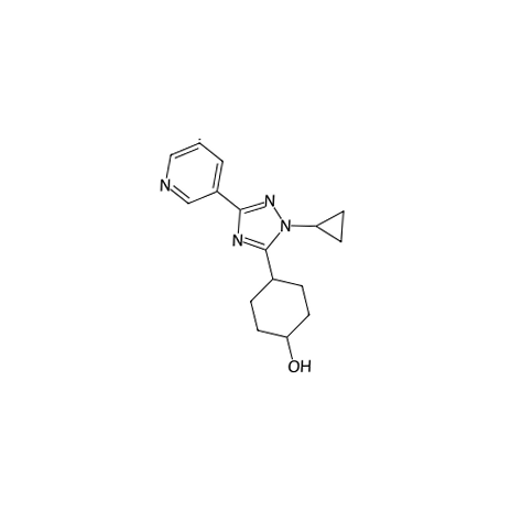 OC1CCC(c2nc(-c3c[c]cnc3)nn2C2CC2)CC1